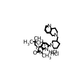 Cl.Cl.Cn1c(=O)n(CC(C)(C)C)c2ccc(N3CCCC(CN4CCc5ncccc5C4)C3)nc21